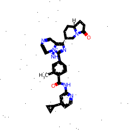 Cc1cc(C2=NC([C@@H]3CC[C@H]4CCC(=O)N4C3)=C3C=NC=C[N+]23N)ccc1C(=O)Nc1cc(C2CC2)ccn1